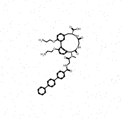 CN(C(=O)CNC(=O)c1ccc(-c2ccc(-c3ccccc3)cc2)cc1)[C@@H]1C(=O)NCC(=O)N[C@H](C(=O)O)Cc2ccc(OCCN)c(c2)-c2cc1ccc2OCCN